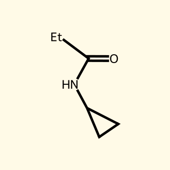 CCC(=O)NC1CC1